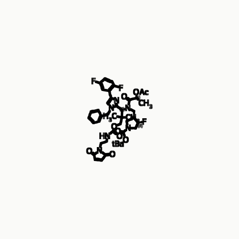 CC(=O)O[C@@H](C)C(=O)N(C[C@@H]1CN(C(=O)OC(C)(C)C)C[C@@H]1F)[C@@H](c1nc(-c2cc(F)ccc2F)cn1Cc1ccccc1)C(C)(C)COC(=O)NCCN1C(=O)C=CC1=O